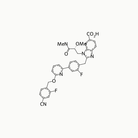 CNC(=O)[C@@H](Cn1c(Cc2ccc(-c3cccc(OCc4ccc(C#N)cc4F)n3)cc2F)nc2ccc(C(=O)O)cc21)OC